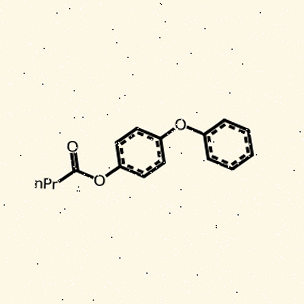 C[CH]CC(=O)Oc1ccc(Oc2ccccc2)cc1